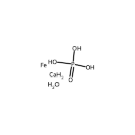 O.O=P(O)(O)O.[CaH2].[Fe]